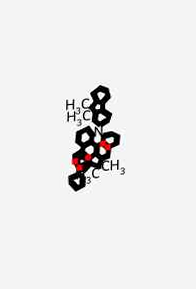 CC1(C)c2ccccc2-c2ccc(N(c3ccccc3)c3cccc(-c4ccc(-c5ccccc5)cc4)c3-c3cccc4c3-c3ccccc3C4(C)C)cc21